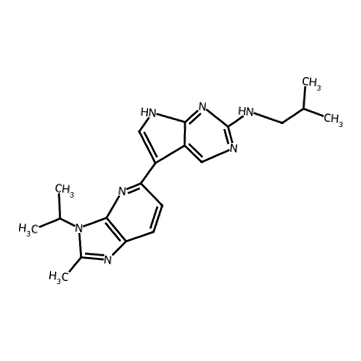 Cc1nc2ccc(-c3c[nH]c4nc(NCC(C)C)ncc34)nc2n1C(C)C